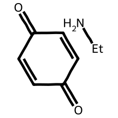 CCN.O=C1C=CC(=O)C=C1